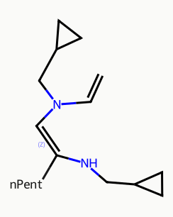 C=CN(/C=C(/CCCCC)NCC1CC1)CC1CC1